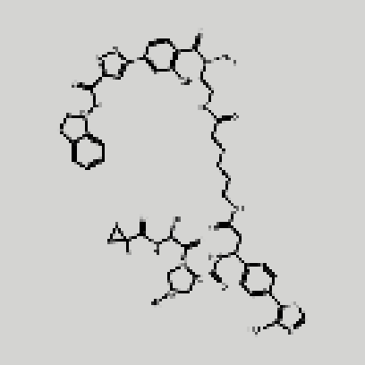 Cc1ncsc1-c1ccc(C(CC(=O)NCCCCCC(=O)NCCN(C)C(=O)c2ccc(-c3cc(C(=O)N[C@@H]4CCc5ccccc54)no3)cc2O)NC(=O)[C@@H]2C[C@@H](O)CN2C(=O)C(NC(=O)C2(F)CC2)C(C)(C)C)cc1